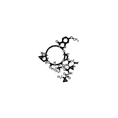 COc1ccc2c(=O)n3c(nc2c1)O[C@@H]1C[C@@H](C(=O)N[C@]2(C(=O)NS(=O)(=O)C4(C)CC4)C[C@H]2C(F)F)N(C1)C(=O)[C@H](C(C)(C)C)NC(=O)O[C@@H]1CC2C[C@@H]2[C@H]1CCCCC3